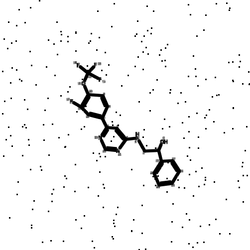 OC(CNc1cc(-c2ccc(OC(F)(F)F)c(F)c2)ncn1)c1ccccc1